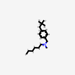 CCCCCCN(C)Cc1ccc(CC(C)(C)C)cc1